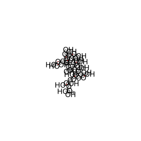 CC(C)(C)CC1OC(COC2C(CO)OC(COCC3OC(COCC4OC(CO)C(O)C4O)C(OCC4OC(CO)C(O)C4OCC4OC(CO)C(OCC5OC(COCC6OC(CO)C(O)C6O)C(OCC6OC(CO)C(O)C6OCC6OC(CO)C(O)C6O)C5O)C4OCC4OC(CO)C(O)C4O)C3O)C2O)C(O)C1O